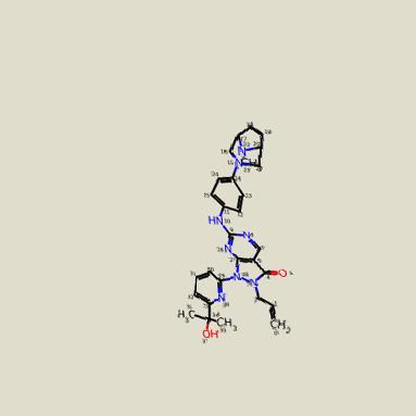 C=CCn1c(=O)c2cnc(Nc3ccc(N4CC5CCC(C4)N5C)cc3)nc2n1-c1cccc(C(C)(C)O)n1